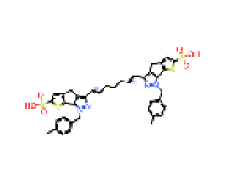 Cc1ccc(Cn2nc(/C=C/CCC/C=C/c3nn(Cc4ccc(C)cc4)c4c3Cc3cc(S(=O)(=O)O)sc3-4)c3c2-c2sc(S(=O)(=O)O)cc2C3)cc1